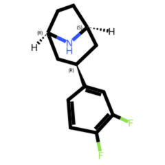 Fc1ccc([C@H]2C[C@H]3CC[C@@H](C2)N3)cc1F